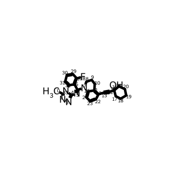 Cc1nnc2nc(N3CCCc4c(C#CC5(O)CCCCC5)cccc43)c3c(F)cccc3n12